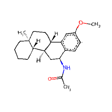 COc1[c]cc2c(c1)[C@H]1CC[C@]3(C)CCCC[C@H]3[C@@H]1C[C@@H]2NC(C)=O